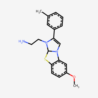 COc1ccc2c(c1)N1C=C(c3cccc(C)c3)N(CCN)C1S2